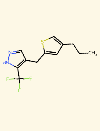 CCCc1csc(Cc2cn[nH]c2C(F)(F)F)c1